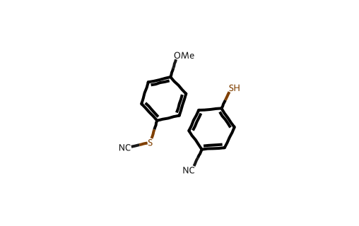 COc1ccc(SC#N)cc1.N#Cc1ccc(S)cc1